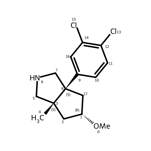 CO[C@@H]1C[C@]2(C)CNC[C@]2(c2ccc(Cl)c(Cl)c2)C1